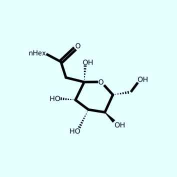 CCCCCCC(=O)C[C@@]1(O)O[C@H](CO)[C@@H](O)[C@H](O)[C@@H]1O